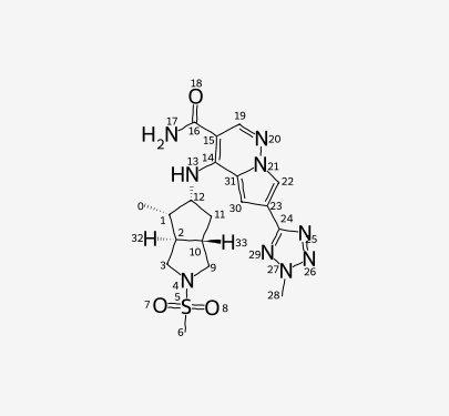 C[C@H]1[C@@H]2CN(S(C)(=O)=O)C[C@H]2C[C@H]1Nc1c(C(N)=O)cnn2cc(-c3nnn(C)n3)cc12